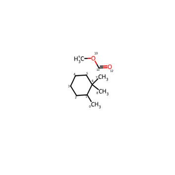 CC1CCCCC1(C)C.COC=O